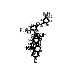 C[C@]12C=CC(=O)C=C1CC[C@@H]1[C@@H]2[C@@H](O)C[C@@]2(C)[C@H]1C[C@H]1O[C@H](c3cc(OCc4cccc(N)c4)ccc3OC(F)(F)F)O[C@]12C(=O)CO